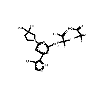 CNC1(C)CCN(c2cc(-c3[nH]ncc3C)nc(N)n2)C1.O=C(O)C(F)(F)F.O=C(O)C(F)(F)F